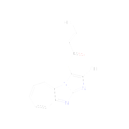 CC=CC(=O)Sc1c(C)nc2nc3cccccc3n12